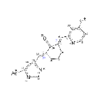 CCc1ccnc(/C=C2\CCC/C(=C\c3cc(C(C)=O)ncn3)C2=O)n1